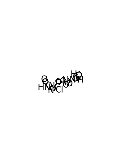 O=C(CN1Cc2ccc(-c3nc(NC4CCOCC4)ncc3Cl)cc2C1=O)N1CC[C@H]2CCCC[C@H]2C1